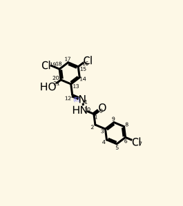 O=C(Cc1ccc(Cl)cc1)N/N=C/c1cc(Cl)cc(Cl)c1O